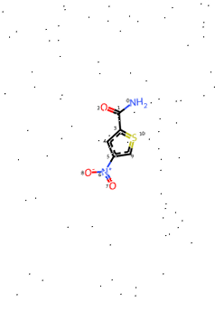 NC(=O)c1cc([N+](=O)[O-])cs1